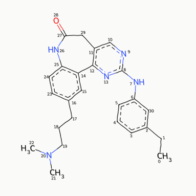 CCc1cccc(Nc2ncc3c(n2)-c2cc(CCCN(C)C)ccc2NC(=O)C3)c1